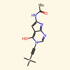 CC(C)(C)C(=O)Nc1cc2c(O)n(C#C[Si](C)(C)C)cnc-2n1